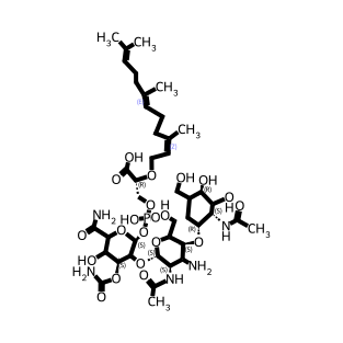 CC(=O)N[C@H]1C(N)[C@H](O[C@@H]2CC(CO)[C@@H](O)C(O)[C@@H]2NC(C)=O)C(CO)O[C@H]1OC1[C@H](OP(=O)(O)OC[C@@H](OC/C=C(/C)CC/C=C(\C)CCC=C(C)C)C(=O)O)OC(C(N)=O)C(O)[C@@H]1OC(N)=O